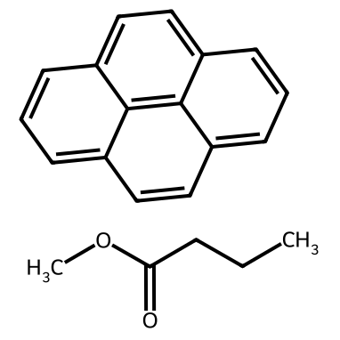 CCCC(=O)OC.c1cc2ccc3cccc4ccc(c1)c2c34